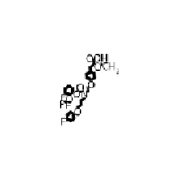 CCOC(Cc1ccc(OCCN(CCCCOc2ccc(F)cc2)C(=O)Oc2ccccc2OC(F)(F)F)cc1)C(=O)O